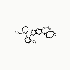 Nc1nc2ccc(-c3c(Cl)cccc3C3CCCCN3C=O)cc2cc1N1CCOCC1